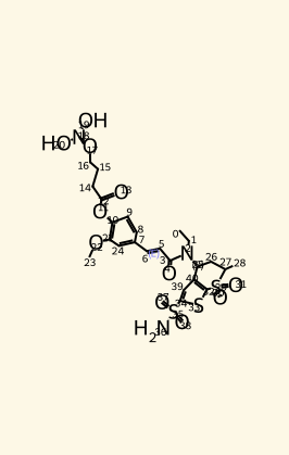 CCN(C(=O)/C=C/c1ccc(OC(=O)CCCON(O)O)c(OC)c1)[C@H]1CC(C)S(=O)(=O)c2sc(S(N)(=O)=O)cc21